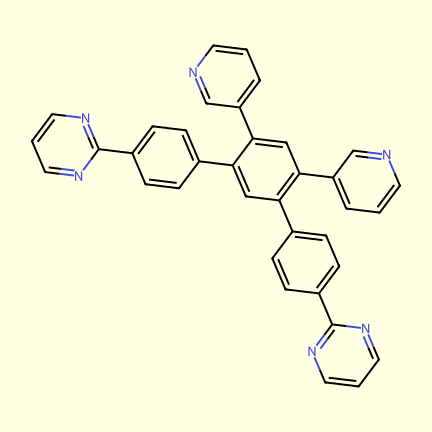 c1cnc(-c2ccc(-c3cc(-c4ccc(-c5ncccn5)cc4)c(-c4cccnc4)cc3-c3cccnc3)cc2)nc1